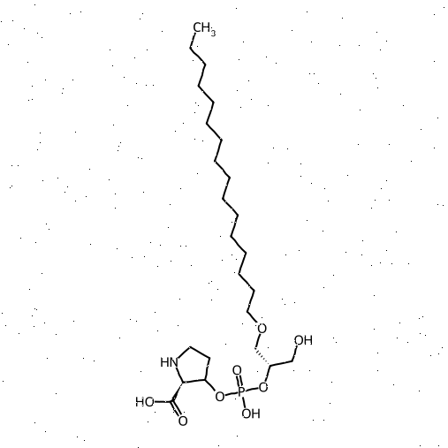 CCCCCCCCCCCCCCCCOC[C@H](CO)OP(=O)(O)OC1CCN[C@@H]1C(=O)O